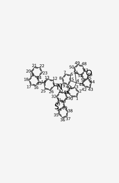 c1ccc(C2(c3cccc(N(c4ccc(-c5cccc6ccccc56)cc4)c4ccc5c(c4)sc4ccccc45)c3)c3cccc4oc5cccc2c5c34)cc1